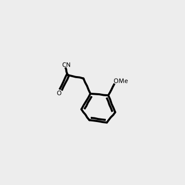 COc1ccccc1CC(=O)C#N